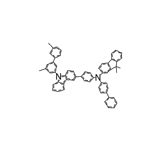 Cc1cccc(-c2cc(C)cc(-n3c4ccccc4c4cc(-c5ccc(N(c6ccc(-c7ccccc7)cc6)c6ccc7c(c6)C(C)(C)c6ccccc6-7)cc5)ccc43)c2)c1